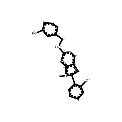 Cn1c(-c2ccccc2Cl)cc2cnc(NCc3cccc(O)c3)nc21